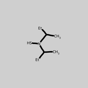 CCC(C)N(S)C(C)CC